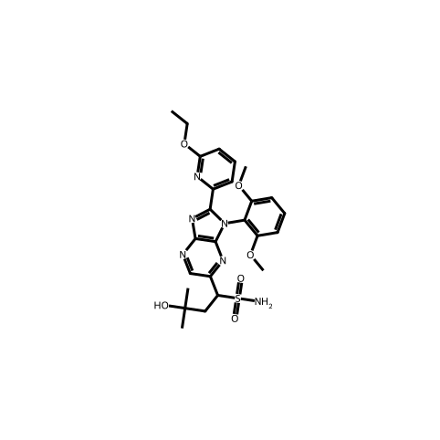 CCOc1cccc(-c2nc3ncc(C(CC(C)(C)O)S(N)(=O)=O)nc3n2-c2c(OC)cccc2OC)n1